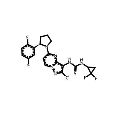 Fc1ccc(F)c([C@H]2CCCN2c2ccn3nc(Cl)c(NC(=S)NC4CC4(F)F)c3n2)c1